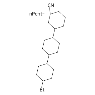 CCCCCC1(C#N)CCCC(C2CCC(C3CCC(CC)CC3)CC2)C1